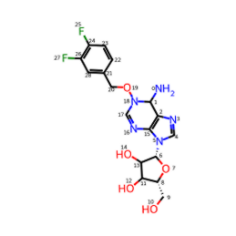 NC1c2ncn([C@@H]3O[C@H](CO)C(O)C3O)c2N=CN1OCc1ccc(F)c(F)c1